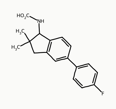 CC1(C)Cc2cc(-c3ccc(F)cc3)ccc2C1NC(=O)O